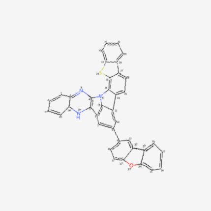 C1=CC2=Nc3c(c4cc(-c5ccc6oc7ccccc7c6c5)cc5c6ccc7c8ccccc8sc7c6n3c45)NC2C=C1